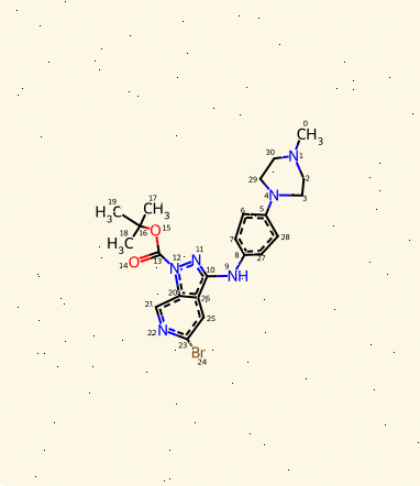 CN1CCN(c2ccc(Nc3nn(C(=O)OC(C)(C)C)c4cnc(Br)cc34)cc2)CC1